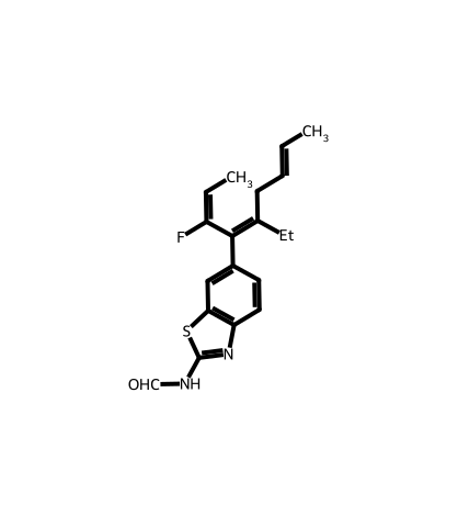 CC=CC/C(CC)=C(\C(F)=C/C)c1ccc2nc(NC=O)sc2c1